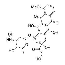 COc1cccc2c1C(=O)c1c(O)c3c(c(O)c1C2=O)C[C@@](O)(C(=O)CO)C[C@@H]3OC1CC([NH][Fe])C(O)C(C)O1